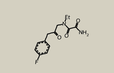 CCN(CC(=O)Cc1ccc(F)cc1)C(=O)C(N)=O